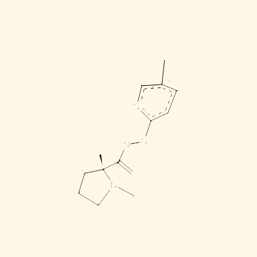 CN1CCC[C@]1(C)C(=O)NNc1ccc(F)cn1